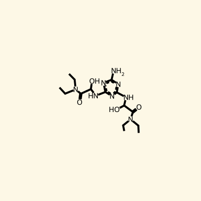 CCN(CC)C(=O)C(O)Nc1nc(N)nc(NC(O)C(=O)N(CC)CC)n1